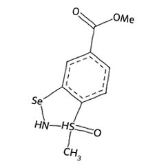 COC(=O)c1ccc2c(c1)[Se]N[SH]2(C)=O